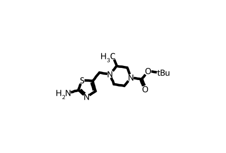 CC1CN(C(=O)OC(C)(C)C)CCN1Cc1cnc(N)s1